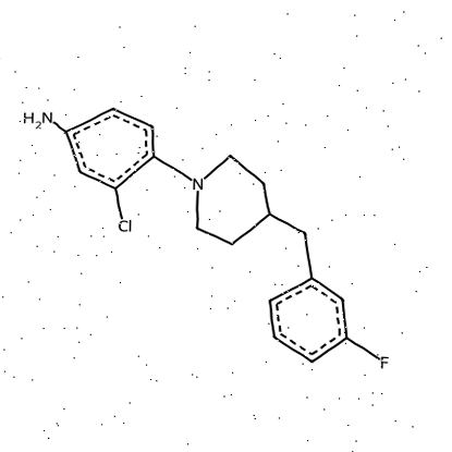 Nc1ccc(N2CCC(Cc3cccc(F)c3)CC2)c(Cl)c1